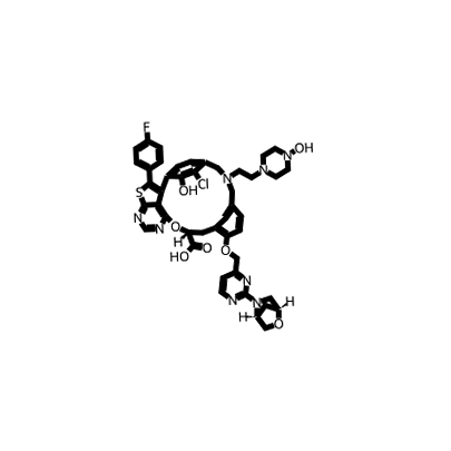 O=C(O)[C@H]1Cc2cc(ccc2OCc2ccnc(N3C[C@@H]4C[C@H]3CO4)n2)CN(CCN2CCN(O)CC2)Cc2ccc(c(O)c2Cl)-c2c(-c3ccc(F)cc3)sc3ncnc(c23)O1